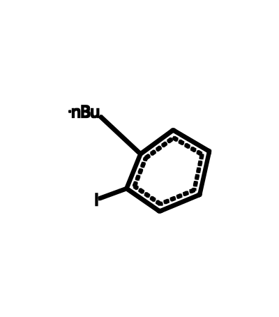 CCC[CH]c1ccccc1I